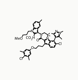 COCCCn1c(C(=O)O)c(N2C[C@@H](C)n3c(c(CCCOc4cc(C)c(Cl)c(C)c4)c4ccc(Cl)c(-c5c(C)nn(C)c5C)c43)C2=O)c2cc(C)ccc21